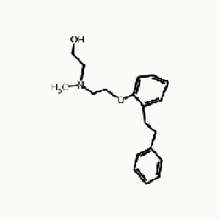 CN(CCO)CCOc1ccccc1CCc1ccccc1